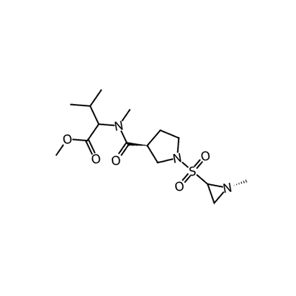 COC(=O)C(C(C)C)N(C)C(=O)[C@H]1CCN(S(=O)(=O)C2C[N@@]2C)C1